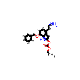 CCOC(=O)Oc1cc2c(CCN)ccc(OCc3ccccc3)c2[nH]1